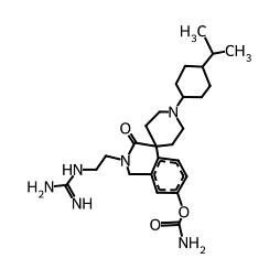 CC(C)C1CCC(N2CCC3(CC2)C(=O)N(CCNC(=N)N)Cc2cc(OC(N)=O)ccc23)CC1